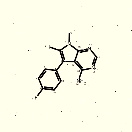 Cn1c(I)c(-c2ccc(F)cc2)c2c(N)ncnc21